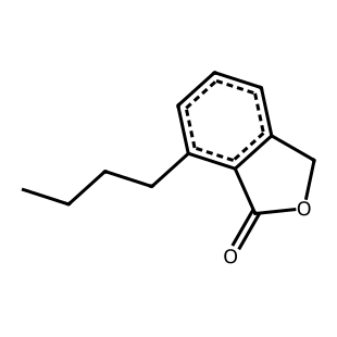 CCCCc1cccc2c1C(=O)OC2